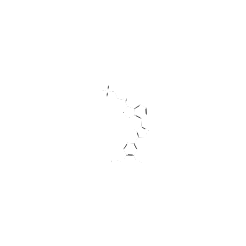 CCS(=O)(=O)CCNC1CCc2c(-c3noc(-c4ccc(OC(C)C)c(C#N)c4)n3)cccc21